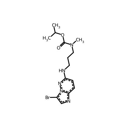 CC(C)OC(=O)N(C)CCCNc1ccc2ncc(Br)n2n1